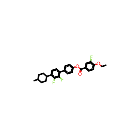 CCOc1ccc(C(=O)Oc2ccc(-c3ccc(C4CCC(C)CC4)c(F)c3F)cc2)cc1F